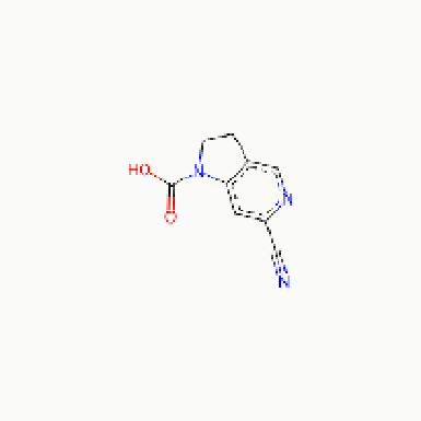 N#Cc1cc2c(cn1)CCN2C(=O)O